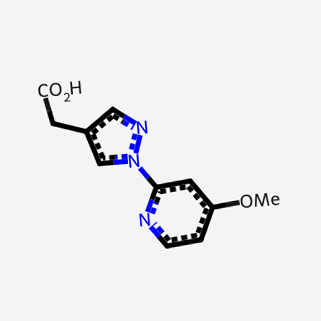 COc1ccnc(-n2cc(CC(=O)O)cn2)c1